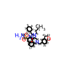 CCCCn1c(-c2ccccc2)nc(-c2ccccc2)c1CN(Cc1ccc(S(N)(=O)=O)cc1)Cc1ccc2c(c1)CCO2